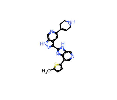 Cc1ccc(-c2cncc3[nH]c(-c4n[nH]c5cnc(C6=CCNCC6)cc45)nc23)s1